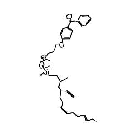 C=CC(CC/C=C\CC/C=C/CC)CC(C)CC[Si](C)(C)O[Si](C)(C)CCCOc1ccc(C(=O)c2ccccc2)cc1